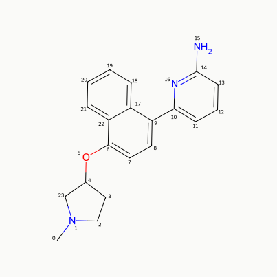 CN1CCC(Oc2ccc(-c3cccc(N)n3)c3ccccc23)C1